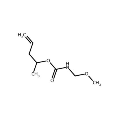 C=CCC(C)OC(=O)NCOC